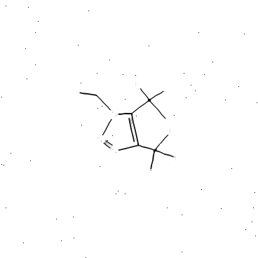 CCn1nnc(C(F)(F)F)c1C(F)(F)F